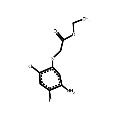 CCOC(=O)CSc1cc(N)c(F)cc1Cl